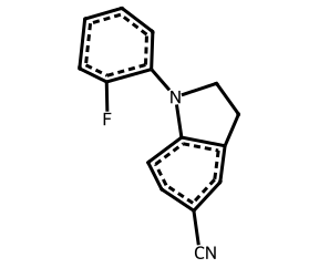 N#Cc1ccc2c(c1)CCN2c1ccccc1F